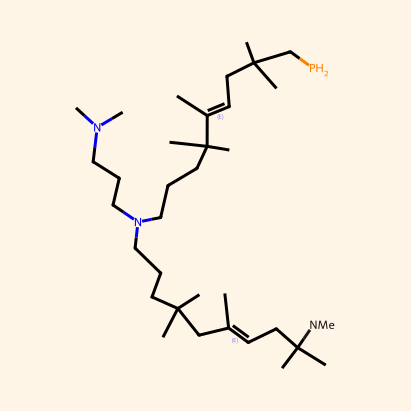 CNC(C)(C)C/C=C(\C)CC(C)(C)CCCN(CCCN(C)C)CCCC(C)(C)/C(C)=C/CC(C)(C)CP